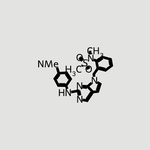 CNc1ccc(Nc2ncc3ccn(Cc4ccccc4N(C)S(C)(=O)=O)c3n2)cc1